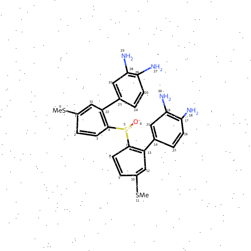 CSc1ccc([S+]([O-])c2ccc(SC)cc2-c2ccc(N)c(N)c2)c(-c2ccc(N)c(N)c2)c1